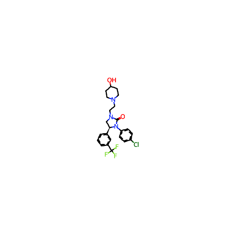 O=C1N(CCN2CCC(O)CC2)C[C@H](c2cccc(C(F)(F)F)c2)N1c1ccc(Cl)cc1